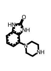 O=c1[nH]c2cccc(N3CCNCC3)c2[nH]1